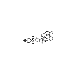 C[C@H]1CCC[C@H]1n1c(=O)ccc2cnc(Nc3ccc(S(=O)(=O)C4CCNCC4)cc3)nc21